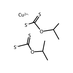 CC(C)OC(=S)[S-].CC(C)OC(=S)[S-].[Cu+2]